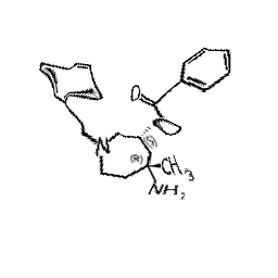 C[C@@]1(N)CCN(Cc2ccccc2)C[C@@H]1OC(=O)c1ccccc1